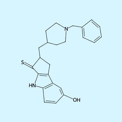 Oc1ccc2[nH]c3c(c2c1)CC(CC1CCN(Cc2ccccc2)CC1)C3=S